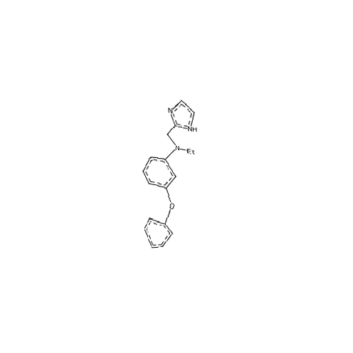 CCN(Cc1ncc[nH]1)c1cccc(Oc2ccccc2)c1